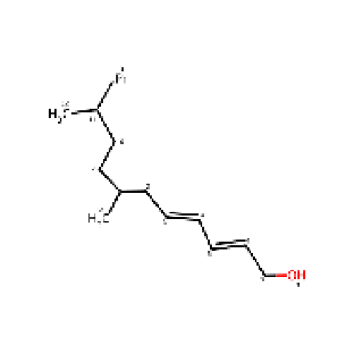 CC(CC=CC=CCO)CCC(C)C(C)C